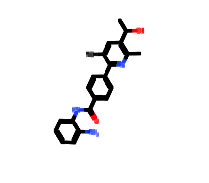 Cc1nc(-c2ccc(C(=O)Nc3ccccc3N)cc2)c(C#N)cc1C(C)O